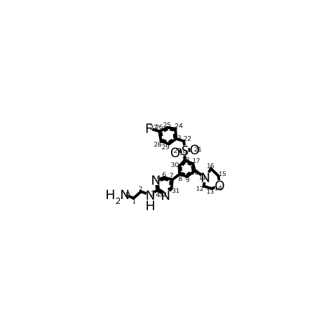 NCCNc1ncc(-c2cc(N3CCOCC3)cc(S(=O)(=O)Cc3ccc(F)cc3)c2)cn1